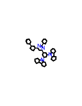 c1ccc(-c2cccc(-c3cc(-c4cc(-n5c6ccccc6c6ccccc65)cc(-n5c6ccccc6c6ccccc65)c4)nc(-c4ccccc4)n3)c2)cc#1